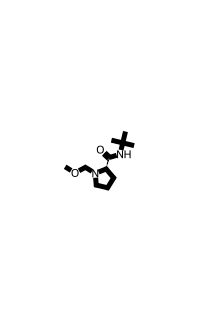 COCN1CCC[C@H]1C(=O)NC(C)(C)C